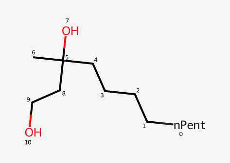 CCCCCCCCCC(C)(O)CCO